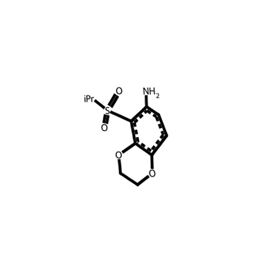 CC(C)S(=O)(=O)c1c(N)ccc2c1OCCO2